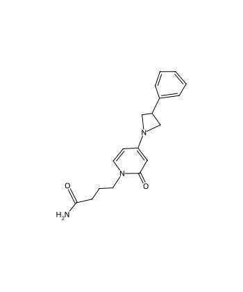 NC(=O)CCCn1ccc(N2CC(c3ccccc3)C2)cc1=O